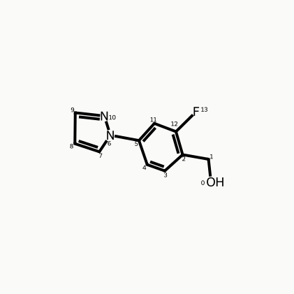 OCc1ccc(-n2cccn2)cc1F